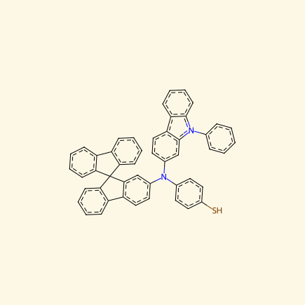 Sc1ccc(N(c2ccc3c(c2)C2(c4ccccc4-c4ccccc42)c2ccccc2-3)c2ccc3c4ccccc4n(-c4ccccc4)c3c2)cc1